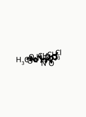 CCS(=O)(=O)N1CCC(N(C)c2cncc(N3C(=O)c4ccc(Cl)cc4C3(C)C)c2)C1